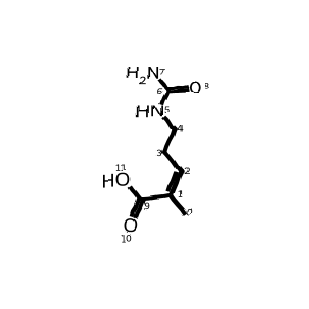 CC(=CCCNC(N)=O)C(=O)O